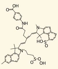 Cc1ccc2c3c(ccc2c1)[N+](CCCS(=O)OO)=C(/C=C/C(=C/C=C1/N(C)c2ccc4cccc(S(=O)O)c4c2C1(C)C)CCC(=O)Nc1ccc(C(=O)O)cc1)C3(C)C